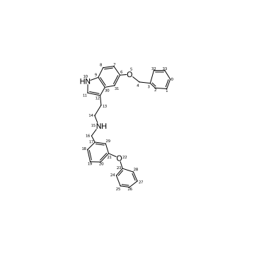 c1ccc(COc2ccc3[nH]cc(CCNCc4cccc(Oc5ccccc5)c4)c3c2)cc1